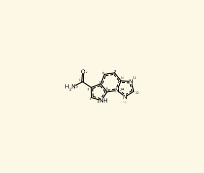 NC(=O)c1c[nH]c2c1ccc1ncnn12